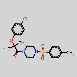 Cc1ccc(S(=O)(=O)N2CCN(C(=O)C(C)(C)Oc3ccc(Cl)cc3)CC2)cc1